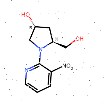 O=[N+]([O-])c1cccnc1N1C[C@H](O)C[C@H]1CO